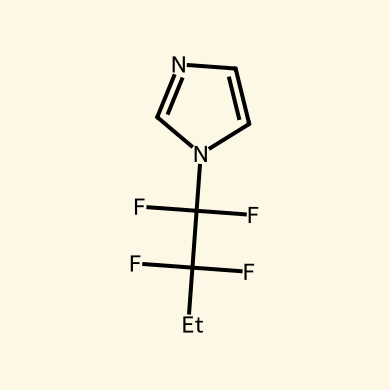 CCC(F)(F)C(F)(F)n1ccnc1